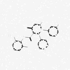 Cc1cccc(C)c1NC(=O)c1c(-c2ccncc2)n(-c2cccc(Cl)c2)c(C)cc1=O